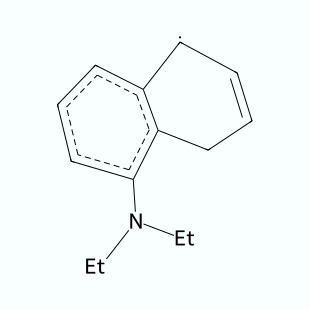 CCN(CC)c1cccc2c1CC=C[CH]2